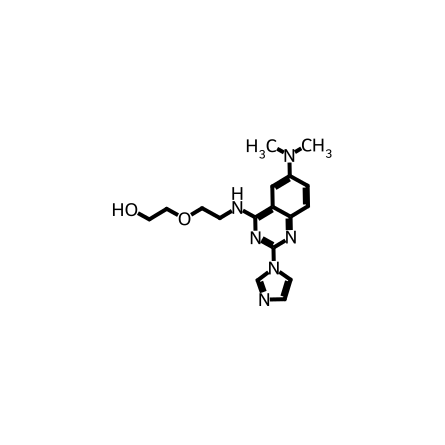 CN(C)c1ccc2nc(-n3ccnc3)nc(NCCOCCO)c2c1